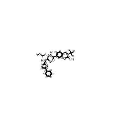 CSCC[C@H](NC(=O)c1ccc(CN(C(=O)O)C(C)(C)C)cc1)C(=O)Nc1nc(-c2ccccc2)cs1